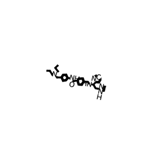 CCCN(CCC)Cc1ccc(NC(=O)c2ccc(CNC(Cc3ncc[nH]3)c3ccccn3)cc2)cc1